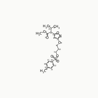 COC(=O)C(c1cc(OCCCOS(=O)(=O)c2ccc(C)cc2)no1)C(C)C